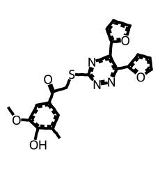 COc1cc(C(=O)CSc2nnc(-c3ccco3)c(-c3ccco3)n2)cc(C)c1O